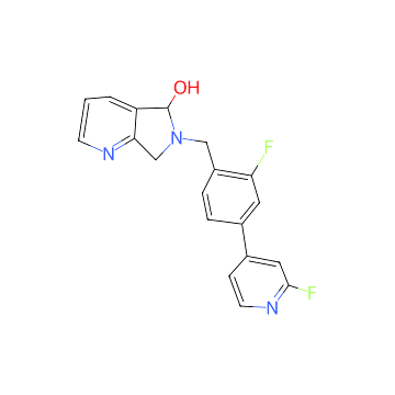 OC1c2cccnc2CN1Cc1ccc(-c2ccnc(F)c2)cc1F